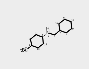 CC(C)(C)[C@H]1CC[C@H](NCC2CCCCC2)CC1